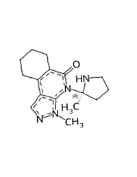 Cn1ncc2c3c(c(=O)n([C@]4(C)CCCN4)c21)CCCC3